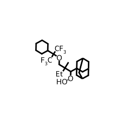 CCC(C)(COC(C1CCCCC1)(C(F)(F)F)C(F)(F)F)C(OO)C12CC3CC(CC(C3)C1)C2